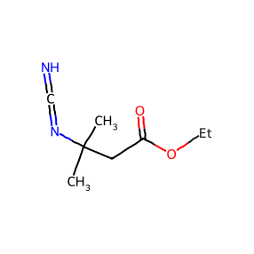 CCOC(=O)CC(C)(C)N=C=N